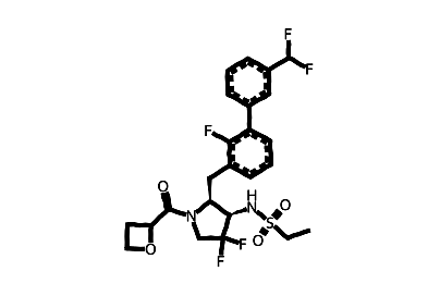 CCS(=O)(=O)N[C@@H]1[C@H](Cc2cccc(-c3cccc(C(F)F)c3)c2F)N(C(=O)C2CCO2)CC1(F)F